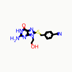 N#Cc1ccc(CSc2nc3c(=O)[nH]c(N)nc3n2CCO)cc1